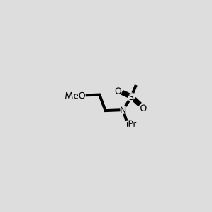 COCCN(C(C)C)S(C)(=O)=O